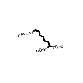 CCCCC/C=C\CCCCC(CCCCCCCCCC)CCCCCCCCCC